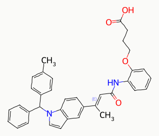 C/C(=C\C(=O)Nc1ccccc1OCCCC(=O)O)c1ccc2c(ccn2C(c2ccccc2)c2ccc(C)cc2)c1